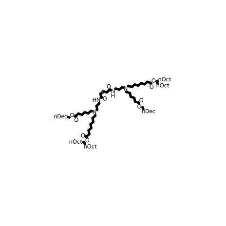 CCCCCCCCCCCOC(=O)CCCCCN(CCCCCCCC(=O)OC(CCCCCCCC)CCCCCCCC)CCCNC(=O)/C=C\CC(=O)NCCCN(CCCCCCCC(=O)OC(CCCCCCCC)CCCCCCCC)CCCCCC(=O)OCCCCCCCCCCC